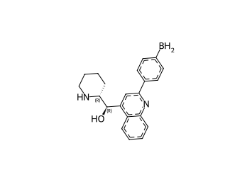 Bc1ccc(-c2cc([C@@H](O)[C@H]3CCCCN3)c3ccccc3n2)cc1